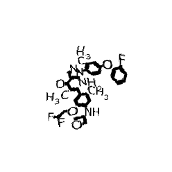 C/C(=C\c1cc(OCC(F)F)c(NC2COC2)cc1C)C(=O)c1cnn(-c2ccc(Oc3ccccc3F)cc2C)c1N